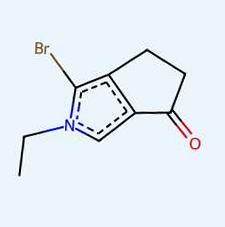 CCn1cc2c(c1Br)CCC2=O